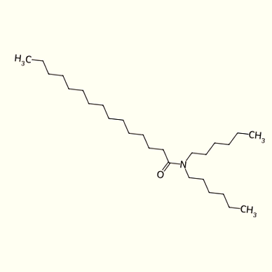 CCCCCCCCCCCCCCC(=O)N(CCCCCC)CCCCCC